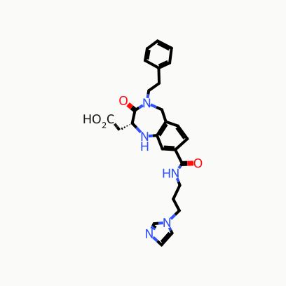 O=C(O)C[C@H]1Nc2cc(C(=O)NCCCn3ccnc3)ccc2CN(CCc2ccccc2)C1=O